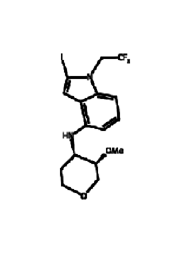 CO[C@H]1COCC[C@H]1Nc1cccc2c1cc(I)n2CC(F)(F)F